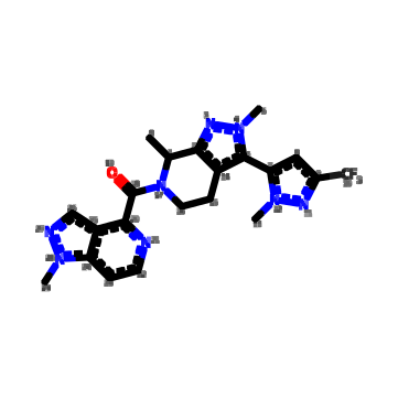 CC1c2nn(C)c(-c3cc(C(F)(F)F)nn3C)c2CCN1C(=O)c1nccc2c1cnn2C